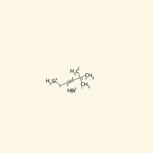 Br.CC(C)(C)C#CC[SiH3]